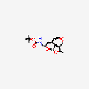 CC1OB2OC(CNC(=O)OC(C)(C)C)C=C3C=COCC1=C23